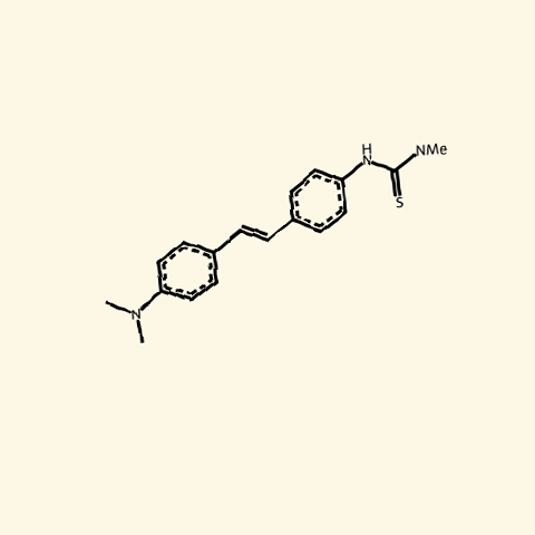 CNC(=S)Nc1ccc(C=Cc2ccc(N(C)C)cc2)cc1